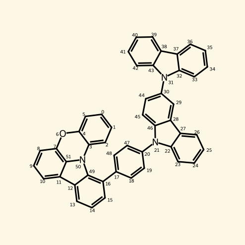 c1ccc2c(c1)Oc1cccc3c4cccc(-c5ccc(-n6c7ccccc7c7cc(-n8c9ccccc9c9ccccc98)ccc76)cc5)c4n-2c13